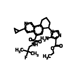 CCOC(=O)c1ncn(C2CCCc3c2cc(S(=O)(=O)NCC(C)(C)F)c2cc(C4CC4)ncc32)c1N